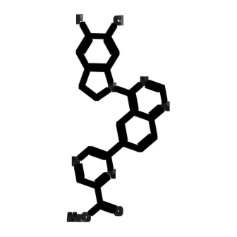 COC(=O)c1cncc(-c2ccc3ncnc(N4CCc5cc(F)c(Cl)cc54)c3c2)n1